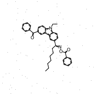 CCCCCCC/C(=N\OC(=O)c1ccccc1)c1ccc2c(c1)c1cc(C(=O)c3ccccc3)ccc1n2CC